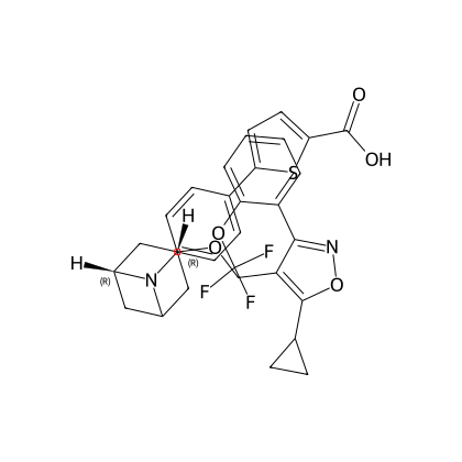 O=C(O)c1ccc(-c2ccc(N3C4C[C@@H](OCc5c(-c6ccccc6OC(F)(F)F)noc5C5CC5)C[C@H]3C4)cc2)s1